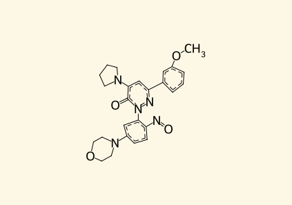 COc1cccc(-c2cc(N3CCCC3)c(=O)n(-c3cc(N4CCOCC4)ccc3N=O)n2)c1